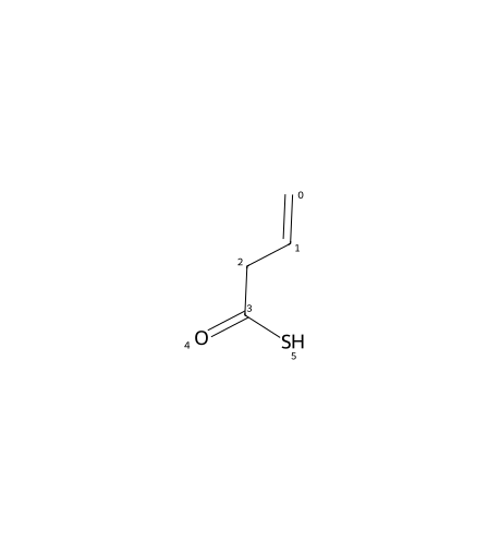 C=CCC(=O)S